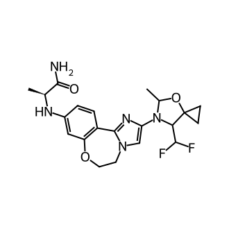 CC1OC2(CC2)C(C(F)F)N1c1cn2c(n1)-c1ccc(N[C@@H](C)C(N)=O)cc1OCC2